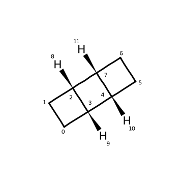 C1C[C@H]2[C@@H]1[C@H]1CC[C@H]12